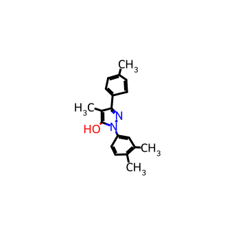 Cc1ccc(-c2nn(-c3ccc(C)c(C)c3)c(O)c2C)cc1